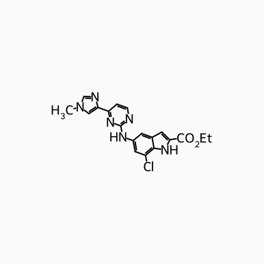 CCOC(=O)c1cc2cc(Nc3nccc(-c4cn(C)cn4)n3)cc(Cl)c2[nH]1